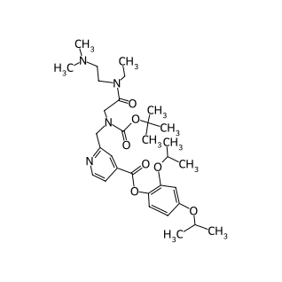 CCN(CCN(C)C)C(=O)CN(Cc1cc(C(=O)Oc2ccc(OC(C)C)cc2OC(C)C)ccn1)C(=O)OC(C)(C)C